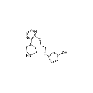 Oc1cccc(OCCOc2nccnc2N2CCNCC2)c1